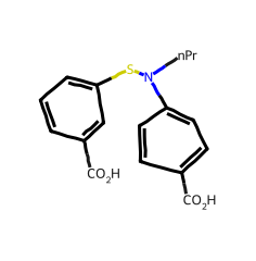 CCCN(Sc1cccc(C(=O)O)c1)c1ccc(C(=O)O)cc1